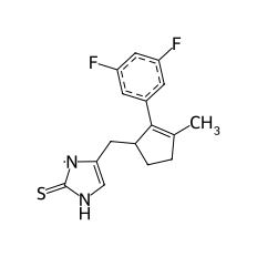 CC1=C(c2cc(F)cc(F)c2)C(CC2=CNC(=S)[N]2)CC1